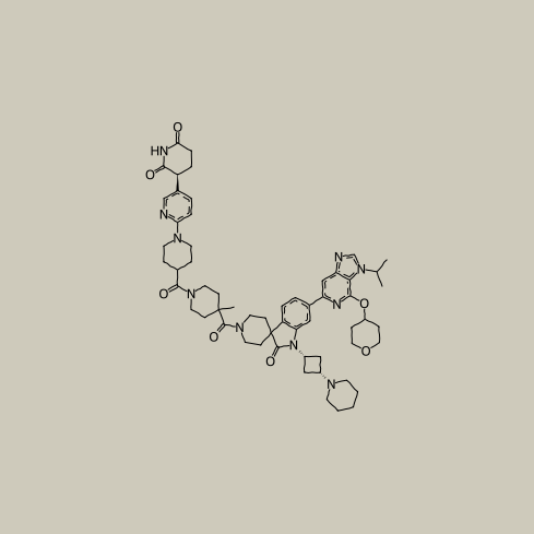 CC(C)n1cnc2cc(-c3ccc4c(c3)N([C@H]3C[C@@H](N5CCCCC5)C3)C(=O)C43CCN(C(=O)C4(C)CCN(C(=O)C5CCN(c6ccc([C@@H]7CCC(=O)NC7=O)cn6)CC5)CC4)CC3)nc(OC3CCOCC3)c21